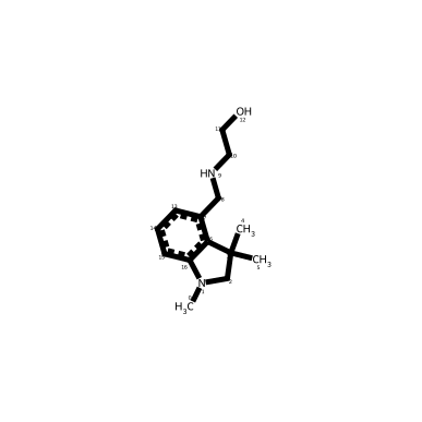 CN1CC(C)(C)c2c(CNCCO)cccc21